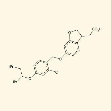 CC(C)CC(Oc1ccc(COc2ccc3c(c2)OCC3CC(=O)O)c(Cl)c1)C(C)C